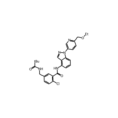 CCOCc1ccc(-n2ncc3c(NC(=O)c4cc(CNC(=O)C(C)(C)C)ccc4Cl)cccc32)cn1